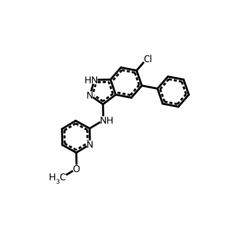 COc1cccc(Nc2n[nH]c3cc(Cl)c(-c4ccccc4)cc23)n1